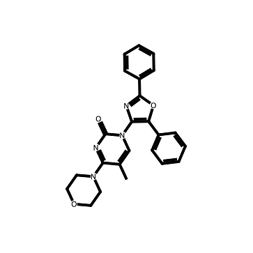 Cc1cn(-c2nc(-c3ccccc3)oc2-c2ccccc2)c(=O)nc1N1CCOCC1